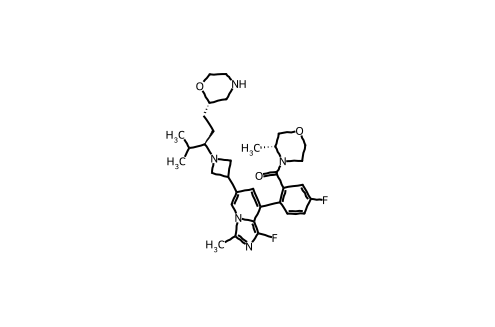 Cc1nc(F)c2c(-c3ccc(F)cc3C(=O)N3CCOC[C@H]3C)cc(C3CN([C@H](CC[C@H]4CNCCO4)C(C)C)C3)cn12